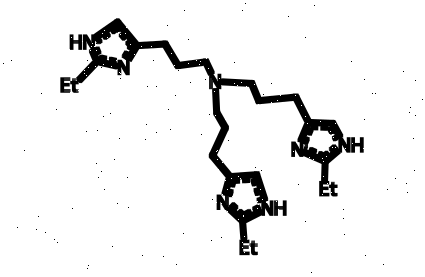 CCc1nc(CCCN(CCCc2c[nH]c(CC)n2)CCCc2c[nH]c(CC)n2)c[nH]1